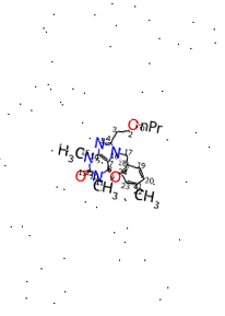 CCCOCCc1nc2c(c(=O)n(C)c(=O)n2C)n1Cc1ccc(C)cc1